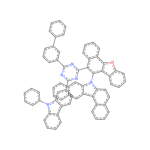 c1ccc(-c2cccc(-c3nc(-c4ccc5c6ccccc6n(-c6ccccc6)c5c4)nc(-c4c(-n5c6cc7ccccc7cc6c6c7ccccc7ccc65)c5c6ccccc6oc5c5ccccc45)n3)c2)cc1